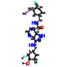 COc1c(F)cc(CNc2n[nH]c3c(C(=O)NCc4ccc(F)c(CI)c4)ncnc23)cc1F